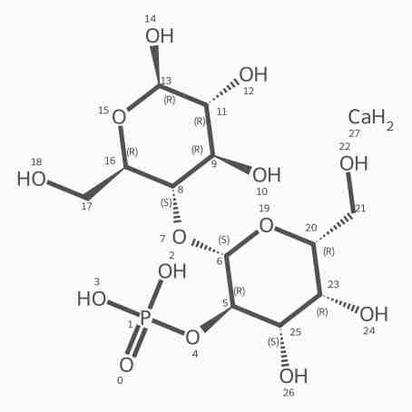 O=P(O)(O)O[C@H]1[C@H](O[C@H]2[C@H](O)[C@@H](O)[C@H](O)O[C@@H]2CO)O[C@H](CO)[C@H](O)[C@@H]1O.[CaH2]